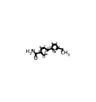 CCc1ccc(-c2ccc(C(N)=O)cc2)s1